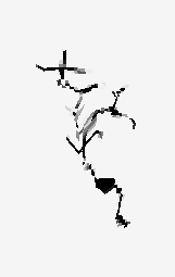 C=CCCCSC(C)(C)[C@H](NC(=O)OC(C)(C)C)C(=O)OC